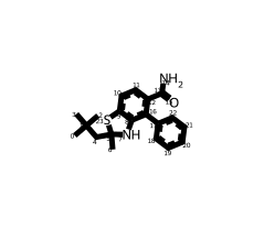 CC(C)(C)CC1(C)Nc2c(ccc(C(N)=O)c2-c2ccccc2)S1